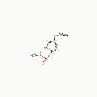 CCCCCCCCCCc1ccc(OC(=O)OCCCC)cc1